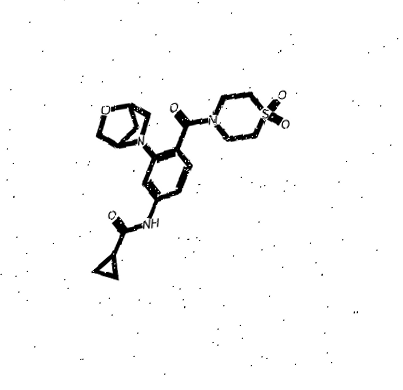 O=C(Nc1ccc(C(=O)N2CCS(=O)(=O)CC2)c(N2CC3CC2CO3)c1)C1CC1